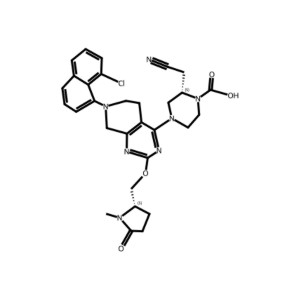 CN1C(=O)CC[C@H]1COc1nc2c(c(N3CCN(C(=O)O)[C@@H](CC#N)C3)n1)CCN(c1cccc3cccc(Cl)c13)C2